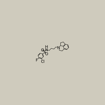 O=S(=O)(NCCCCN1CCc2cccc3c2C1CC3)c1ccc(F)c(Cl)c1